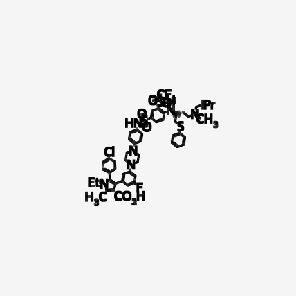 CCn1c(C)c(C(=O)O)c(-c2cc(F)cc(N3CCN(c4ccc(NS(=O)(=O)c5ccc(N[C@H](CCN(C)CC(C)C)CSc6ccccc6)c(S(=O)(=O)C(F)(F)F)c5)cc4)CC3)c2)c1-c1ccc(Cl)cc1